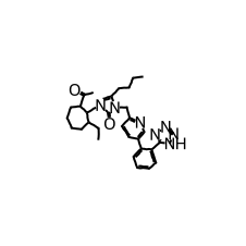 CCCCc1cn(C2C(CC)CCCCC2C(C)=O)c(=O)n1Cc1ccc(-c2ccccc2-c2nnn[nH]2)cn1